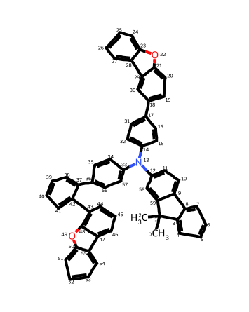 CC1(C)c2ccccc2-c2ccc(N(c3ccc(-c4ccc5oc6ccccc6c5c4)cc3)c3ccc(-c4ccccc4-c4cccc5c4oc4ccccc45)cc3)cc21